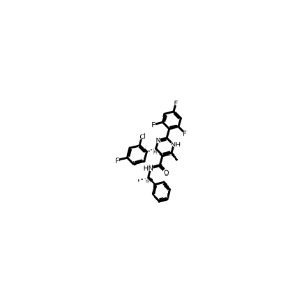 CC1=C(C(=O)N[C@@H](C)c2ccccc2)[C@H](c2ccc(F)cc2Cl)N=C(c2c(F)cc(F)cc2F)N1